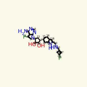 Nc1ncnc2c1c(F)cn2[C@@H]1C[C@H](c2ccc3cc(CNCC45CC(F)(C4)C5)[nH]c3c2)[C@@H](O)[C@H]1O